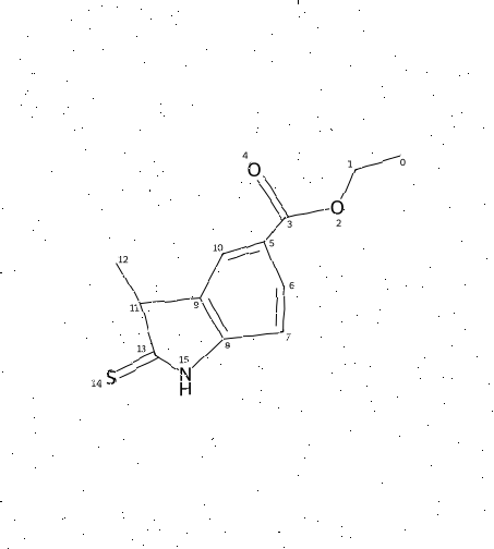 CCOC(=O)c1ccc2c(c1)C(C)C(=S)N2